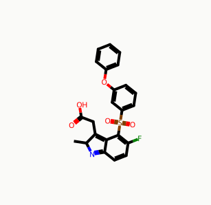 CC1N=c2ccc(F)c(S(=O)(=O)c3cccc(Oc4ccccc4)c3)c2=C1CC(=O)O